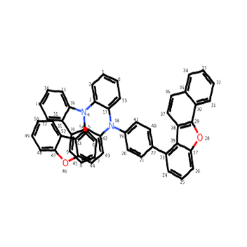 c1ccc(-n2c3ccccc3c3ccccc32)c(N(c2ccc(-c3cccc4oc5c6ccccc6ccc5c34)cc2)c2ccc3oc4ccccc4c3c2)c1